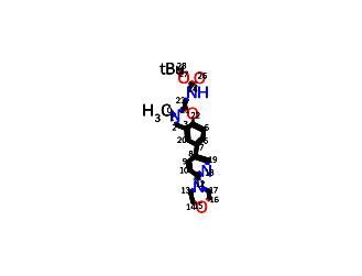 CN(Cc1cccc(-c2ccc(N3CCOCC3)nc2)c1)C(=O)CNC(=O)OC(C)(C)C